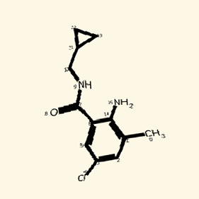 Cc1cc(Cl)cc(C(=O)NCC2CC2)c1N